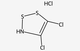 Cl.ClC1=C(Cl)SSN1